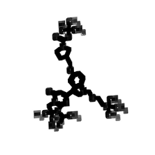 CC(C)N1c2nc(-c3cn(COCC[Si](C)(C)C)c4ccc(OCC5CCN(C(=O)OC(C)(C)C)C5)cc34)cc(=O)n2CC1(C)C